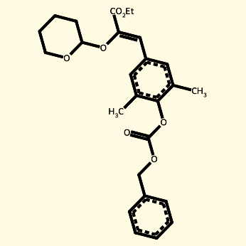 CCOC(=O)/C(=C/c1cc(C)c(OC(=O)OCc2ccccc2)c(C)c1)OC1CCCCO1